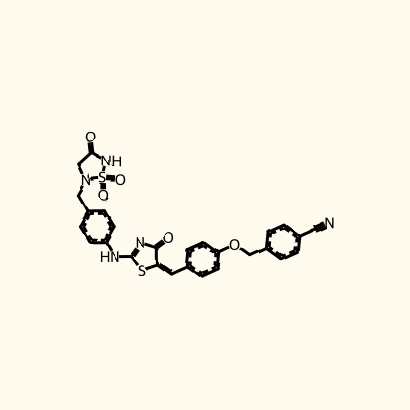 N#Cc1ccc(COc2ccc(/C=C3/SC(Nc4ccc(CN5CC(=O)NS5(=O)=O)cc4)=NC3=O)cc2)cc1